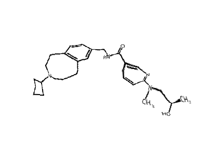 C[C@@H](O)CN(C)c1ccc(C(=O)NCc2ccc3c(c2)CCN(C2CCC2)CC3)cn1